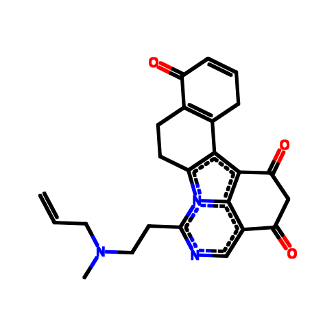 C=CCN(C)CCc1ncc2c3c(c4c(n13)CCC1=C4CC=CC1=O)C(=O)CC2=O